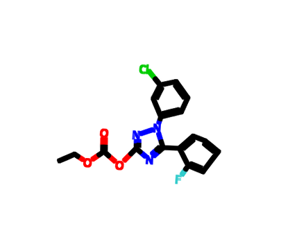 CCOC(=O)Oc1nc(-c2ccccc2F)n(-c2cccc(Cl)c2)n1